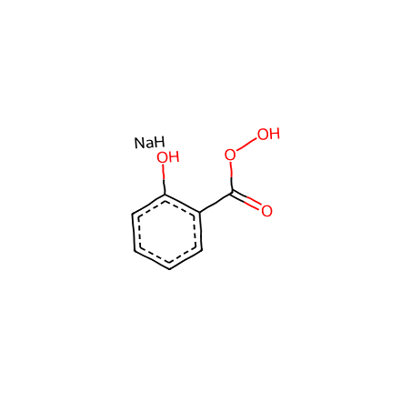 O=C(OO)c1ccccc1O.[NaH]